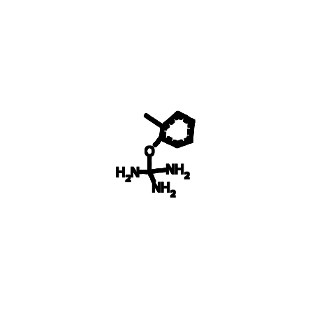 Cc1ccccc1OC(N)(N)N